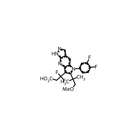 COCC(C)(C)c1c(C(F)(F)CC(=O)O)c2nc3[nH]ncc3cc2n1-c1ccc(F)c(F)c1